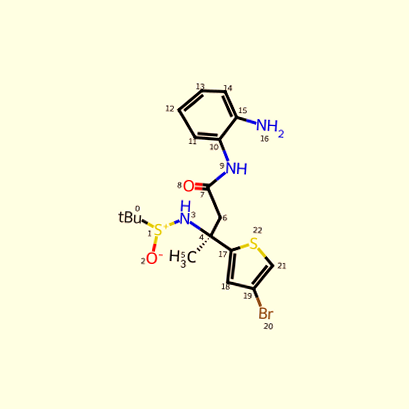 CC(C)(C)[S+]([O-])N[C@@](C)(CC(=O)Nc1ccccc1N)c1cc(Br)cs1